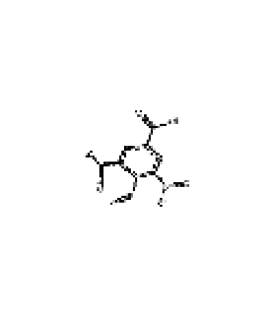 O=Ic1c(C(=O)O)cc(C(=O)O)cc1[N+](=O)[O-]